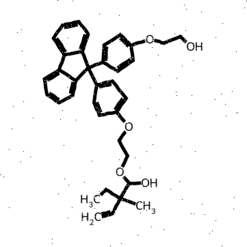 C=CC(C)(CC)C(O)OCCOc1ccc(C2(c3ccc(OCCO)cc3)c3ccccc3-c3ccccc32)cc1